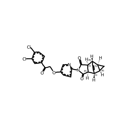 O=C(COc1ccc(N2C(=O)[C@@H]3[C@@H]4C=C[C@@H]([C@H]5C[C@@H]45)[C@@H]3C2=O)nc1)c1ccc(Cl)c(Cl)c1